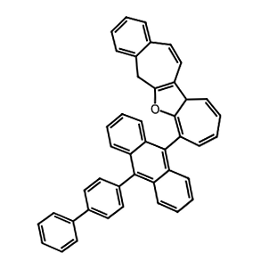 C1=CC(c2c3ccccc3c(-c3ccc(-c4ccccc4)cc3)c3ccccc23)=C2OC3=C(C=Cc4ccccc4C3)C2C=C1